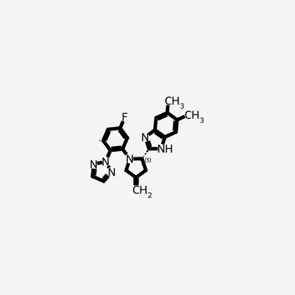 C=C1C[C@@H](c2nc3cc(C)c(C)cc3[nH]2)N(c2cc(F)c[c]c2-n2nccn2)C1